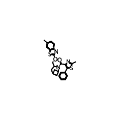 Cc1ccc2nc(OCC3CC4CC(C4)N3C(=O)c3nc(C)sc3-c3ccccc3)sc2c1